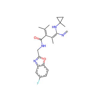 C=N/C(NC1(C)CC1)=C(\C)C(C(=O)NCc1nc2cc(F)ccc2o1)=C(C)C